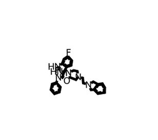 O=C(Nc1ccccc1)C1(N2CCN(CCN3Cc4ccccc4C3)CC2)NNc2cc(F)ccc21